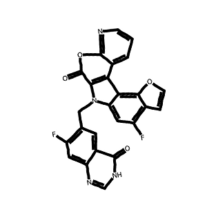 O=c1[nH]cnc2cc(F)c(Cn3c4cc(F)c5ccoc5c4c4c5cccnc5oc(=O)c43)cc12